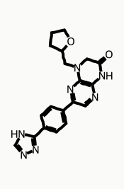 O=C1CN(CC2CCCO2)c2nc(-c3ccc(-c4nnc[nH]4)cc3)cnc2N1